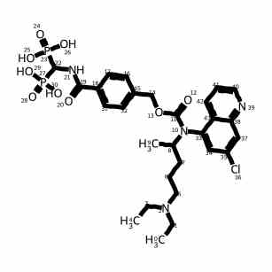 CCN(CC)CCCC(C)N(C(=O)OCc1ccc(C(=O)NC(P(=O)(O)O)P(=O)(O)O)cc1)c1cc(Cl)cc2ncccc12